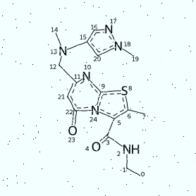 CCNC(=O)c1c(C)sc2nc(CN(C)c3cnn(C)c3)cc(=O)n12